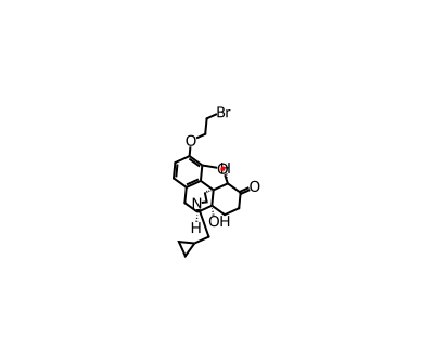 O=C1CC[C@@]2(O)[C@H]3Cc4ccc(OCCBr)c5c4[C@@]2(CCN3CC2CC2)[C@H]1O5